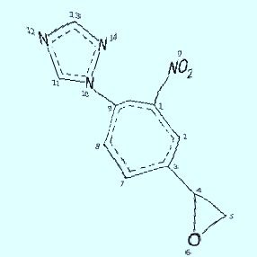 O=[N+]([O-])c1cc(C2CO2)ccc1-n1cncn1